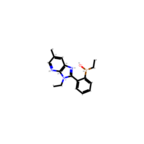 CCn1c(-c2ccccc2[S+]([O-])CC)nc2cc(C)cnc21